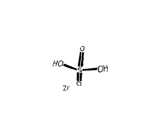 O=S(=O)(O)O.[Zr]